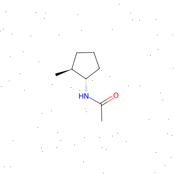 CC(=O)N[C@H]1CCC[C@@H]1C